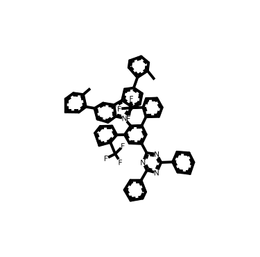 Cc1ccccc1-c1ccc2c(c1)c1cc(-c3ccccc3C)ccc1n2-c1c(-c2ccccc2C(F)(F)F)cc(-c2nc(-c3ccccc3)nc(-c3ccccc3)n2)cc1-c1ccccc1C(F)(F)F